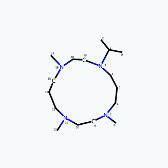 CC(C)N1CCCN(C)CCN(C)CCCN(C)CC1